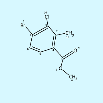 COC(=O)c1ccc(Br)c(Cl)c1C